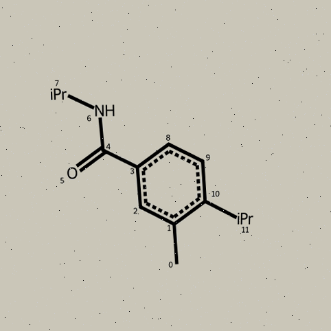 Cc1cc(C(=O)NC(C)C)ccc1C(C)C